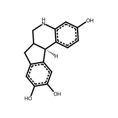 Oc1ccc2c(c1)NCC1Cc3cc(O)c(O)cc3[C@H]21